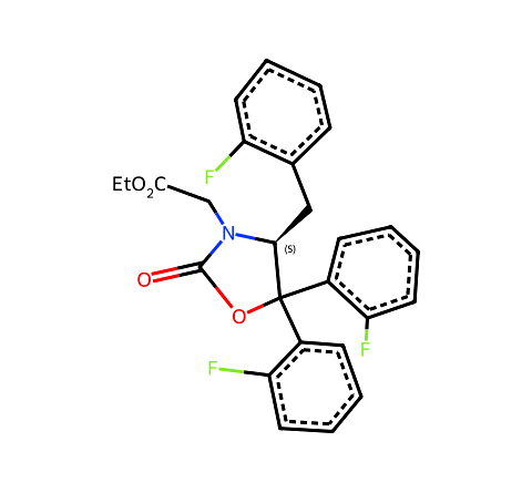 CCOC(=O)CN1C(=O)OC(c2ccccc2F)(c2ccccc2F)[C@@H]1Cc1ccccc1F